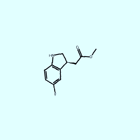 COC(=O)C[C@@H]1CNc2ccc(F)cc21